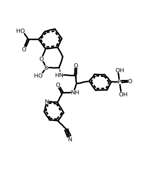 N#Cc1ccnc(C(=O)NC(C(=O)N[C@H]2Cc3cccc(C(=O)O)c3OB2O)c2ccc(P(=O)(O)O)cc2)c1